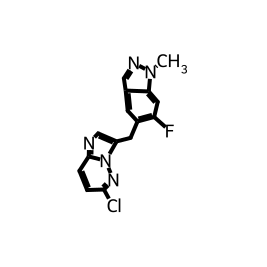 Cn1ncc2cc(Cc3cnc4ccc(Cl)nn34)c(F)cc21